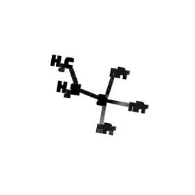 CCC[Si](CCC)(CCC)[SiH2]C